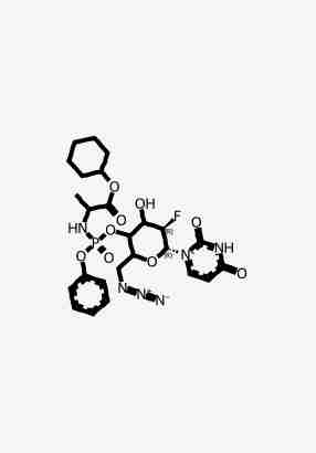 CC(NP(=O)(Oc1ccccc1)OC1C(CN=[N+]=[N-])O[C@@H](n2ccc(=O)[nH]c2=O)[C@H](F)C1O)C(=O)OC1CCCCC1